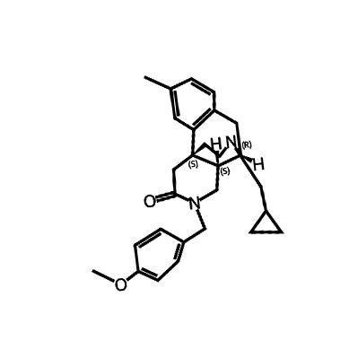 COc1ccc(CN2C[C@H]3[C@H]4Cc5ccc(C)cc5[C@@]3(CCN4CC3CC3)CC2=O)cc1